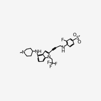 CN1CCC(Nc2cccc3c2cc(C#CCNc2ccc(S(C)(=O)=O)cc2F)n3CC(F)(F)F)CC1